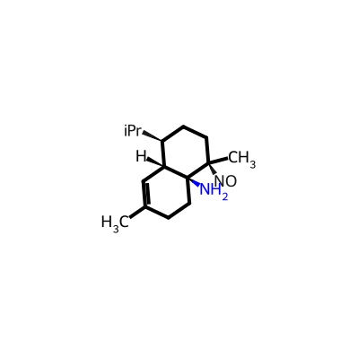 CC1=C[C@@H]2[C@@H](C(C)C)CC[C@@](C)(N=O)[C@]2(N)CC1